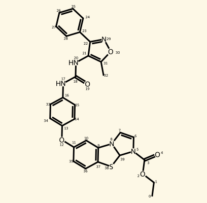 CCOC(=O)N1C=CN2c3cc(Oc4ccc(NC(=O)Nc5c(-c6ccccc6)noc5C)cc4)ccc3SC12